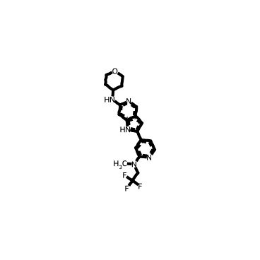 CN(CC(F)(F)F)c1cc(-c2cc3cnc(NC4CCOCC4)cc3[nH]2)ccn1